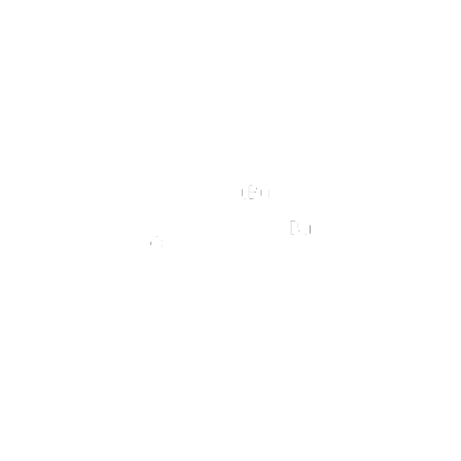 CC(C)(C)c1ccc2c(c1C(C)(C)C)C=COC2